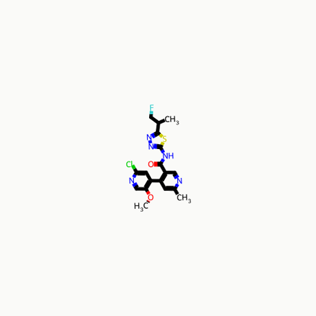 COc1cnc(Cl)cc1-c1cc(C)ncc1C(=O)Nc1nnc(C(C)CF)s1